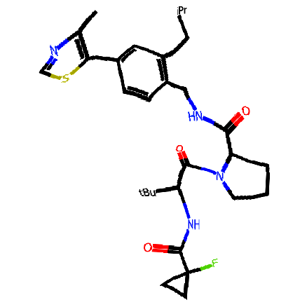 Cc1ncsc1-c1ccc(CNC(=O)C2CCCN2C(=O)C(NC(=O)C2(F)CC2)C(C)(C)C)c(CC(C)C)c1